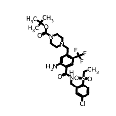 CCS(=O)(=O)c1ccc(Cl)cc1CNC(=O)c1cc(C(F)(F)F)c(CN2CCN(C(=O)OC(C)(C)C)CC2)cc1N